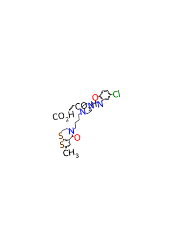 Cc1cc2c(s1)SCCN(CCCCN1CCN(c3nc4cc(Cl)ccc4o3)CC1)C2=O.O=C(O)/C=C\C(=O)O